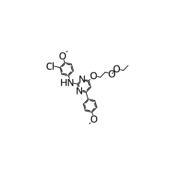 CCOOCCOc1cc(-c2ccc(OC)cc2)nc(Nc2ccc(OC)c(Cl)c2)n1